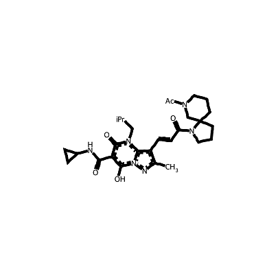 CC(=O)N1CCCC2(CCCN2C(=O)/C=C/c2c(C)nn3c(O)c(C(=O)NC4CC4)c(=O)n(CC(C)C)c23)C1